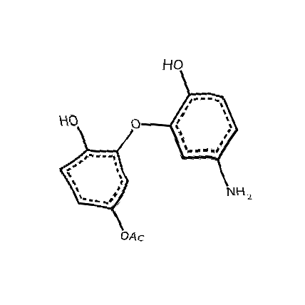 CC(=O)Oc1ccc(O)c(Oc2cc(N)ccc2O)c1